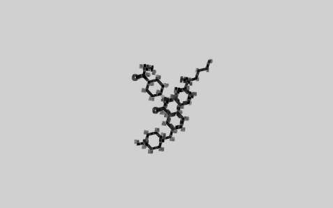 CCCCNc1ncc2c3ccc(CN4CCN(C)CC4)cc3c(=O)n([C@H]3CC[C@H](C(N)=O)CC3)c2n1